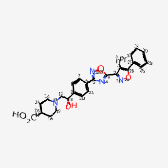 CCCc1c(-c2nc(-c3ccc(C(O)CN4CCC(C(=O)O)CC4)cc3)no2)noc1-c1ccccc1